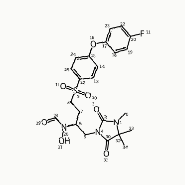 CN1C(=O)N(CC(CCS(=O)(=O)c2ccc(Oc3ccc(F)cc3)cc2)N(O)C=O)C(=O)C1(C)C